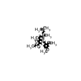 CCOC(=O)c1cn(Cc2ccc(OC)cc2OC)c2nc(N(C)CCN(C)C)cc(C)c2c1=O